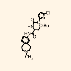 CC(C)COCC(NC(=O)Oc1ccc(Cl)s1)C(=O)Nc1ccc2c(c1)CCN(C)CC2